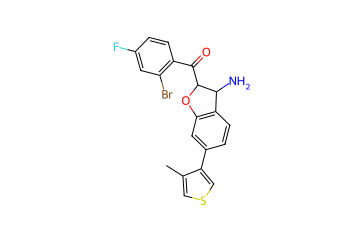 Cc1cscc1-c1ccc2c(c1)OC(C(=O)c1ccc(F)cc1Br)C2N